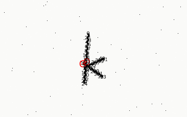 CCCCCCCCCCCCCOC(=O)C(CCCCCCCC)=C(CCCCCCCC)CCCCCCCC